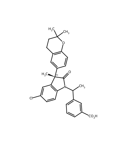 CC(c1cccc(C(=O)O)c1)N1C(=O)[C@@](C)(c2ccc3c(c2)CCC(C)(C)O3)c2cc(Cl)ccc21